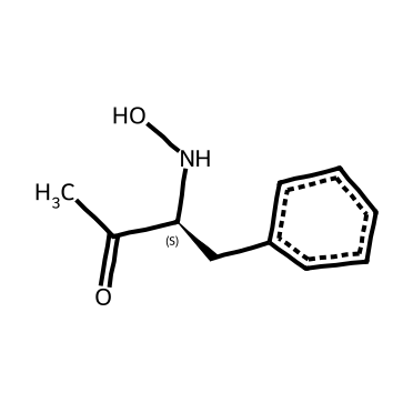 CC(=O)[C@H](Cc1ccccc1)NO